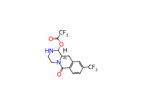 O=C1c2ccc(C(F)(F)F)cc2C[C@@H]2C(OC(=O)C(F)(F)F)NCCN12